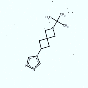 CC(C)(C)N1CC2(CC(n3cnnc3)C2)C1